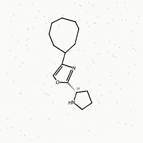 c1oc([C@@H]2CCCN2)nc1C1CCCCCCC1